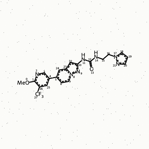 COc1ncc(-c2ccn3nc(NC(=O)NCCn4cccn4)cc3c2)cc1C(F)(F)F